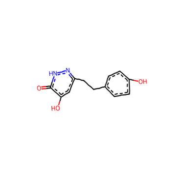 O=c1[nH]nc(CCc2ccc(O)cc2)cc1O